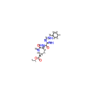 CCOC(=O)[C@@H]1C2CC[C@H](NC(=O)C(=N)/N=C\NCc3ccccc3)C(=O)N(C)C21